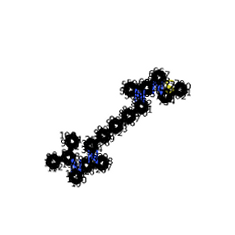 c1ccc(-c2cc(-c3ccccc3)cc(-n3c4ccccc4c4cc5c6ccccc6n(-c6cccc(-c7ccc(-c8ccc(-c9ccc(-c%10cccc(-n%11c%12ccccc%12c%12cc%13c%14ccccc%14n(-c%14cccc%15c%14sc%14ccccc%14%15)c%13cc%12%11)c%10)cc9)cc8)cc7)c6)c5cc43)c2)cc1